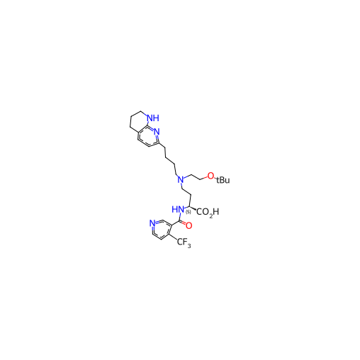 CC(C)(C)OCCN(CCCCc1ccc2c(n1)NCCC2)CC[C@H](NC(=O)c1cnccc1C(F)(F)F)C(=O)O